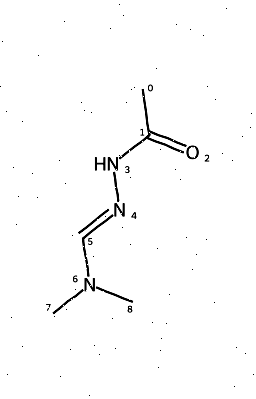 CC(=O)NN=CN(C)C